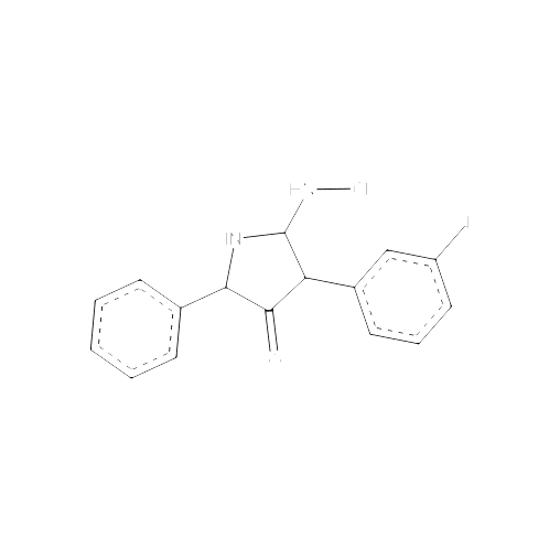 CNC1NC(c2ccccc2)C(=O)C1c1cccc(I)c1